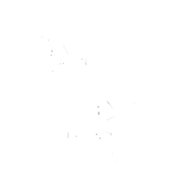 CC1[C@H](O)CN(C(=O)c2cc(C3CC3)c(OCC3(F)CCN([C@@H](C)c4cc(Cl)cc(Cl)c4)CC3)cc2F)[C@@H]1C(=O)O